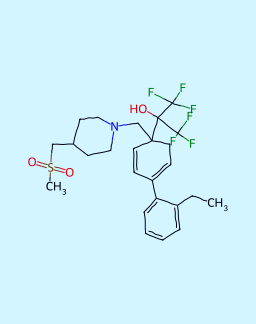 CCc1ccccc1C1=CCC(CN2CCC(CS(C)(=O)=O)CC2)(C(O)(C(F)(F)F)C(F)(F)F)C=C1